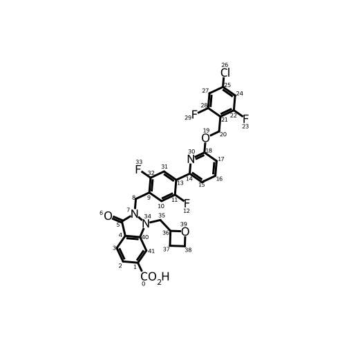 O=C(O)c1ccc2c(=O)n(Cc3cc(F)c(-c4cccc(OCc5c(F)cc(Cl)cc5F)n4)cc3F)n(CC3CCO3)c2c1